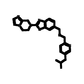 CC(C)Cc1ccc(COCc2ccc3nc(N4CCn5ccnc5C4)oc3c2)nc1